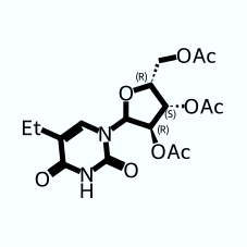 CCc1cn(C2O[C@H](COC(C)=O)[C@H](OC(C)=O)[C@H]2OC(C)=O)c(=O)[nH]c1=O